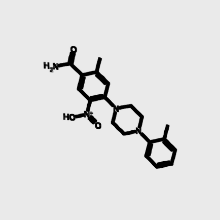 Cc1cc(N2CCN(c3ccccc3C)CC2)c([N+](=O)O)cc1C(N)=O